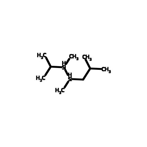 CC(C)C[SiH](C)[SiH](C)C(C)C